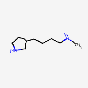 CNCCCCC1CCNC1